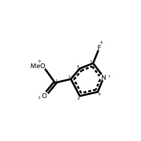 COC(=O)c1[c]c(F)ncc1